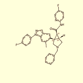 Cc1cc2c(cnn2-c2ccc(F)cc2)cc1[C@]12CN(Cc3ccccc3)C[C@H]1[C@@H]2C(=O)Nc1ccc(F)cn1